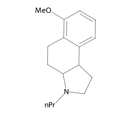 CCCN1CCC2c3cccc(OC)c3CCC21